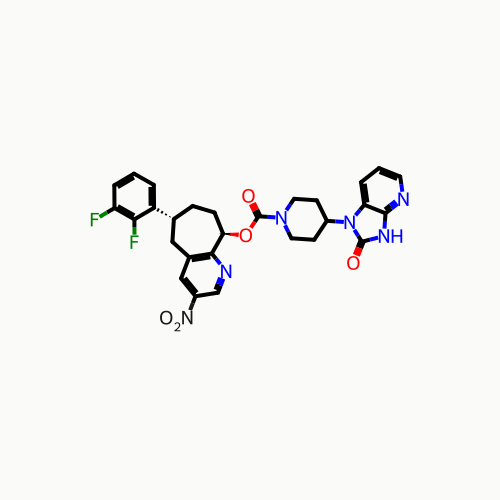 O=C(O[C@@H]1CC[C@@H](c2cccc(F)c2F)Cc2cc([N+](=O)[O-])cnc21)N1CCC(n2c(=O)[nH]c3ncccc32)CC1